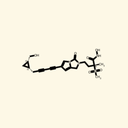 C[C@@](CCN1Cc2cc(C#CC#CC[C@@H]3C[C@@H]3CO)cn2C1=O)(C(=O)NO)S(C)(=O)=O